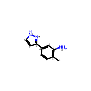 Cc1ccc(-c2cc[nH]n2)cc1N